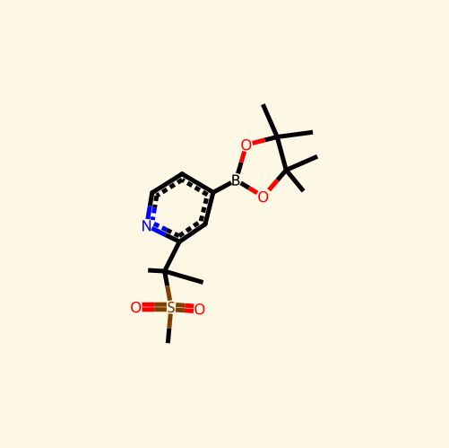 CC1(C)OB(c2ccnc(C(C)(C)S(C)(=O)=O)c2)OC1(C)C